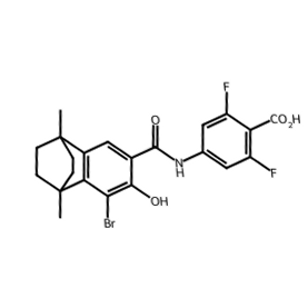 CC12CCC(C)(CC1)c1c2cc(C(=O)Nc2cc(F)c(C(=O)O)c(F)c2)c(O)c1Br